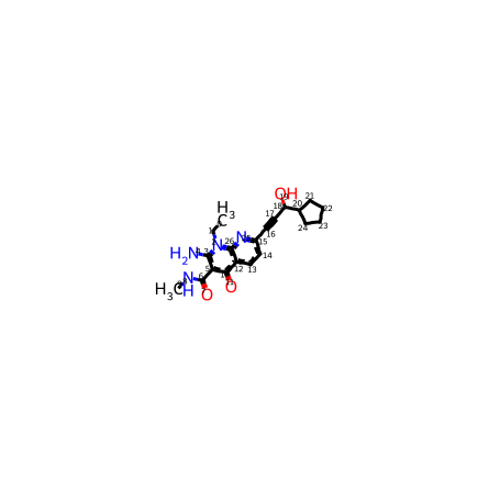 CCn1c(N)c(C(=O)NC)c(=O)c2ccc(C#CC(O)C3CCCC3)nc21